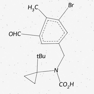 Cc1c(Br)cc(CN(C(=O)O)C2(C(C)(C)C)CC2)cc1C=O